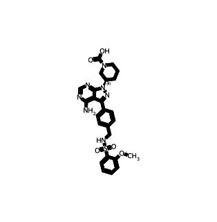 COc1ccccc1S(=O)(=O)NCc1ccc(-c2nn([C@@H]3CCCN(C(=O)O)C3)c3ncnc(N)c23)cc1